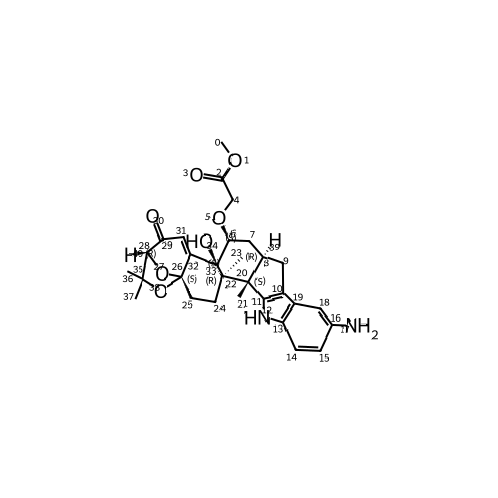 COC(=O)CO[C@H]1C[C@H]2Cc3c([nH]c4ccc(N)cc34)[C@]2(C)[C@@]2(C)CC[C@@]34O[C@@H](C(=O)C=C3[C@]12O)C(C)(C)O4